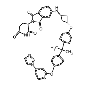 CC(C)(c1ccc(Oc2cc(-n3ccnn3)ccn2)cc1)c1ccc(O[C@H]2C[C@H](Nc3ccc4c(c3)C(=O)N(C3CCC(=O)NC3=O)C4=O)C2)cc1